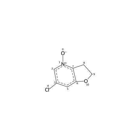 [O-][n+]1cc(Cl)cc2c1CCO2